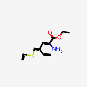 C=CS/C=C(C=C)/C=C(\N)C(=O)OCC